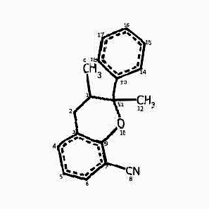 CC1Cc2cccc(C#N)c2OC1(C)c1ccccc1